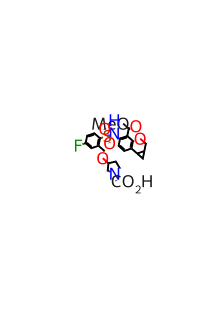 COC(=O)c1c(NS(=O)(=O)c2ccc(F)cc2COC2CCN(C(=O)O)C2)ccc2c1OCC1CC21